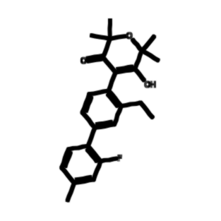 CCc1cc(-c2ccc(C)cc2F)ccc1C1=C(O)C(C)(C)OC(C)(C)C1=O